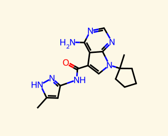 Cc1cc(NC(=O)c2cn(C3(C)CCCC3)c3ncnc(N)c23)n[nH]1